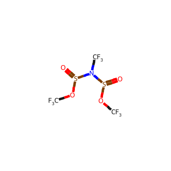 O=S(OC(F)(F)F)N(S(=O)OC(F)(F)F)C(F)(F)F